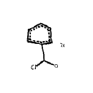 ClC(Cl)c1ccccc1.[Zr]